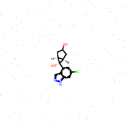 OC1C[C@@H]2[C@H](C1)[C@]2(O)c1cc(Cl)cc2[nH]ncc12